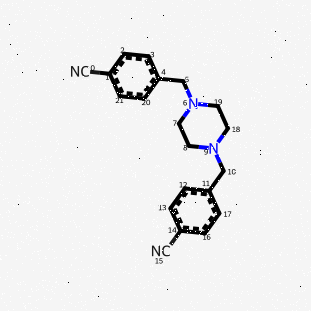 N#Cc1ccc(CN2CCN(Cc3ccc(C#N)cc3)CC2)cc1